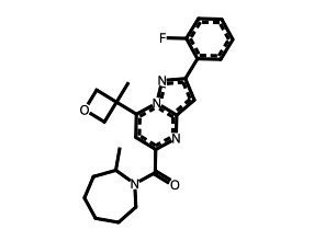 CC1CCCCCN1C(=O)c1cc(C2(C)COC2)n2nc(-c3ccccc3F)cc2n1